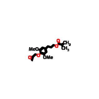 C=C(C)C(=O)OCCCc1cc(OC)c(OCC2CO2)c(OC)c1